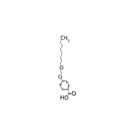 CCCCCCCCOCCOc1ccc(C(=O)O)cc1